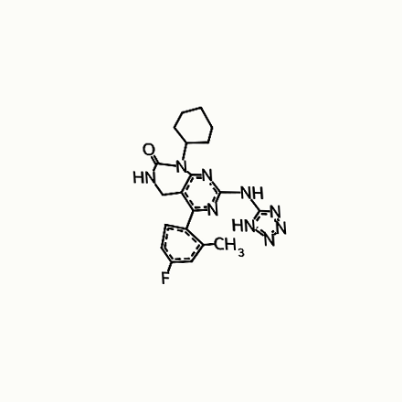 Cc1cc(F)ccc1-c1nc(Nc2nnn[nH]2)nc2c1CNC(=O)N2C1CCCCC1